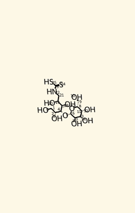 OC[C@@H](O)[C@@H](O[C@@H]1O[C@H](CO)[C@H](O)[C@H](O)[C@H]1O)[C@H](O)[C@@H](O)CNC(=S)S